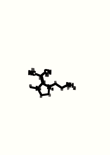 CN1CCN(CCN)C1=C(C#N)C#N